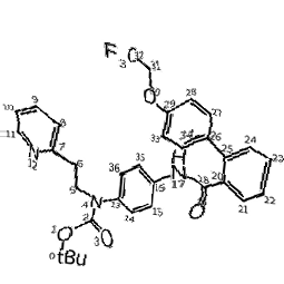 CC(C)(C)OC(=O)N(CCc1ccccn1)c1ccc(NC(=O)c2ccccc2-c2ccc(OCC(F)(F)F)cc2)cc1